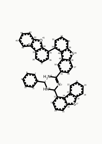 N/C(=N\C(NCc1ccccc1)c1cccc2sc3ccccc3c12)c1ccc2sc3cccc(-c4cccc5c4oc4ccccc45)c3c2c1